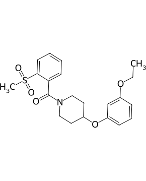 CCOc1cccc(OC2CCN(C(=O)c3ccccc3S(C)(=O)=O)CC2)c1